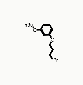 CCCCOc1cccc(OCCCC(C)C)c1